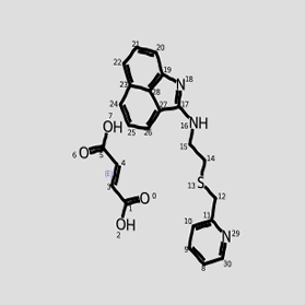 O=C(O)/C=C/C(=O)O.c1ccc(CSCCNC2=Nc3cccc4cccc2c34)nc1